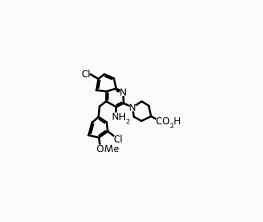 COc1ccc(Cc2c(N)c(N3CCC(C(=O)O)CC3)nc3ccc(Cl)cc23)cc1Cl